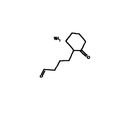 N.O=CCCCC1CCCCC1=O